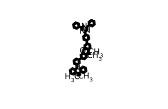 CC1(C)c2ccc(-c3ccc(-c4nc(-c5ccccc5)nc(-c5ccccc5)n4)cc3)cc2Oc2cc(-c3cccc(N4c5ccccc5C(C)(C)c5ccccc54)c3)ccc21